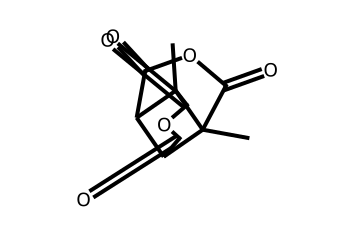 CC12C(=O)OC(=O)C3C1C(=O)OC(=O)C32C